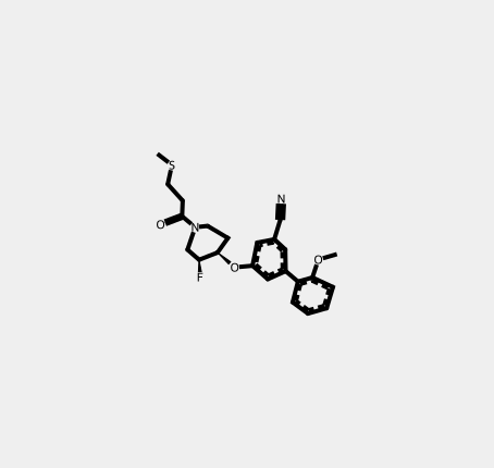 COc1ccccc1-c1cc(C#N)cc(O[C@@H]2CCN(C(=O)CCSC)C[C@@H]2F)c1